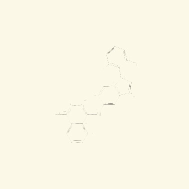 Cc1cccc(C)c1-n1cnc2cc(Nc3nnc(Cl)c4ccccc34)ccc21